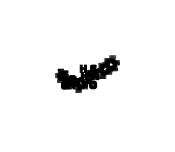 C/C(=N\NC(=O)c1ccc(NS(=O)(=O)c2cccs2)cc1)c1ccc2ccccc2c1